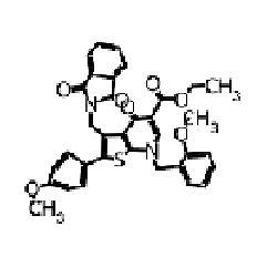 CCOC(=O)c1cn(Cc2ccccc2OC)c2sc(-c3ccc(OC)cc3)c(CN3C(=O)c4ccccc4C3=O)c2c1=O